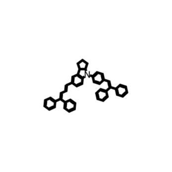 C(/C=C/c1ccc2c(c1)C1CCCC1N2c1ccc(C=C(c2ccccc2)c2ccccc2)cc1)=C(c1ccccc1)c1ccccc1